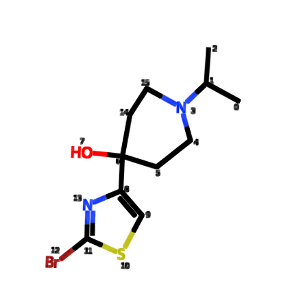 CC(C)N1CCC(O)(c2csc(Br)n2)CC1